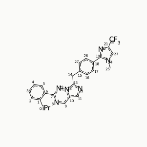 CC(C)c1ccccc1-c1ncc2cnc(Cc3ccc(-c4nc(C(F)(F)F)cn4C)cc3)n2n1